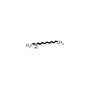 C=CN/C=C/CCCCCCCC